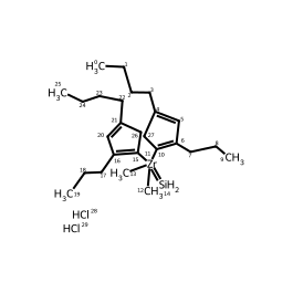 CCCCC1=CC(CCC)=[C]([Zr]([CH3])([CH3])(=[SiH2])[C]2=C(CCC)C=C(CCCC)C2)C1.Cl.Cl